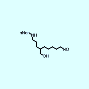 CCCCCCCCCNCCCC(CO)CCCCCN=O